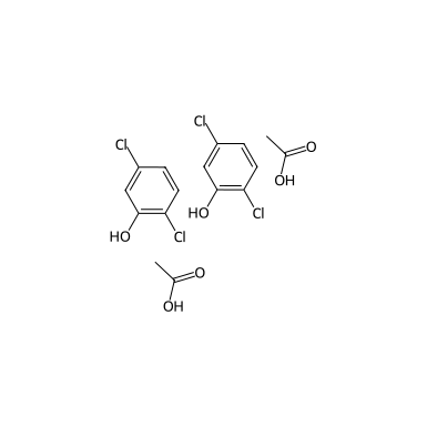 CC(=O)O.CC(=O)O.Oc1cc(Cl)ccc1Cl.Oc1cc(Cl)ccc1Cl